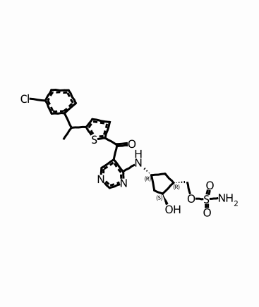 CC(c1cccc(Cl)c1)c1ccc(C(=O)c2cncnc2N[C@@H]2C[C@H](COS(N)(=O)=O)[C@@H](O)C2)s1